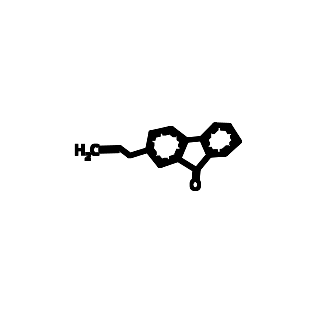 C=CCc1ccc2c(c1)C(=O)c1ccccc1-2